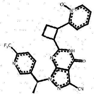 C[C@@H](c1ccc(C(F)(F)F)nc1)n1nc(C#N)c2c(=O)[nH]c(C3CCC3c3cccc[n+]3[O-])nc21